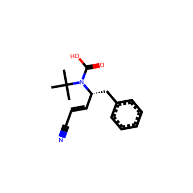 CC(C)(C)N(C(=O)O)[C@@H](C=CC#N)Cc1ccccc1